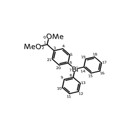 COC(OC)c1cc[c]([Bi]([c]2ccccc2)[c]2ccccc2)cc1